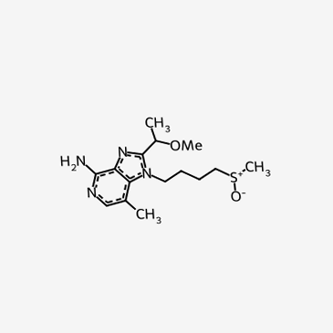 COC(C)c1nc2c(N)ncc(C)c2n1CCCC[S+](C)[O-]